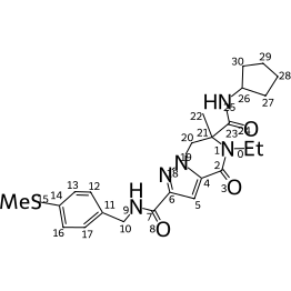 CCN1C(=O)c2cc(C(=O)NCc3ccc(SC)cc3)nn2CC1(C)C(=O)NC1CCCC1